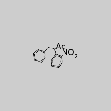 CC(=O)C(Cc1ccccc1)c1ccccc1[N+](=O)[O-]